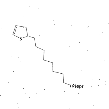 CCCCCCCCCCCCCCCC1CC=CS1